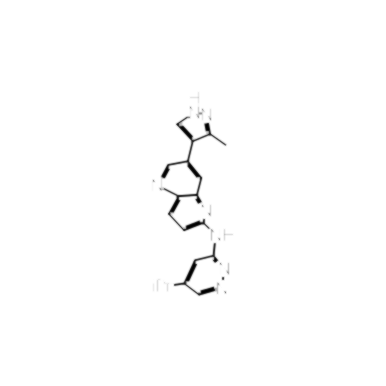 Cc1n[nH]cc1-c1cnc2ccc(Nc3cc(C(C)C)cnn3)nc2c1